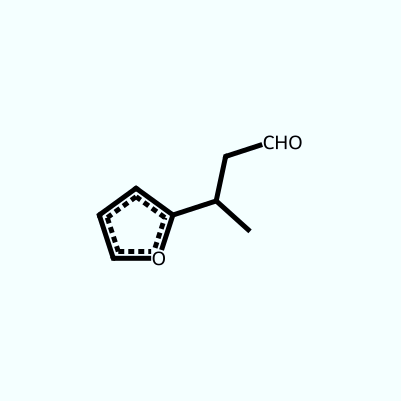 CC(CC=O)c1ccco1